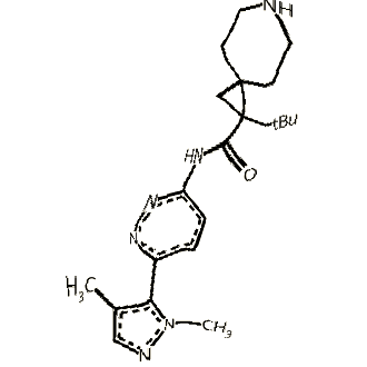 Cc1cnn(C)c1-c1ccc(NC(=O)C2(C(C)(C)C)CC23CCNCC3)nn1